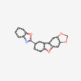 c1ccc2oc(-c3ccc4oc5cc6c(cc5c4c3)OCO6)nc2c1